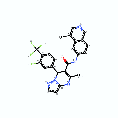 CC1=C(C(=O)Nc2ccc3cncc(C)c3c2)C(c2ccc(C(F)(F)F)c(F)c2)n2nccc2N1